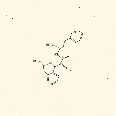 C[C@H](NC(CCc1ccccc1)C(=O)O)C(=O)C1NC(C(=O)O)Cc2ccccc21